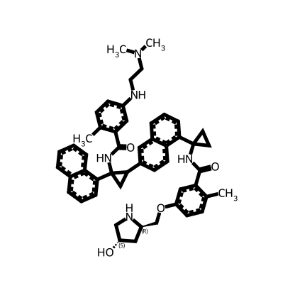 Cc1ccc(OC[C@H]2C[C@H](O)CN2)cc1C(=O)NC1(c2cccc3cc(C4CC4(NC(=O)c4cc(NCCN(C)C)ccc4C)c4cccc5ccccc45)ccc23)CC1